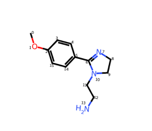 COc1ccc(C2=NCCN2CCN)cc1